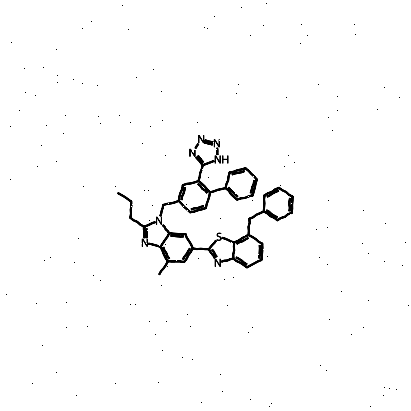 CCCc1nc2c(C)cc(-c3nc4cccc(Cc5ccccc5)c4s3)cc2n1Cc1ccc(-c2ccccc2)c(-c2nnn[nH]2)c1